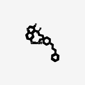 COc1ccc2ncc(F)c([C@H](F)CCC3(CO)CCN(CCCc4ccccc4)CC3)c2c1